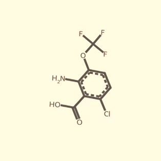 Nc1c(OC(F)(F)F)ccc(Cl)c1C(=O)O